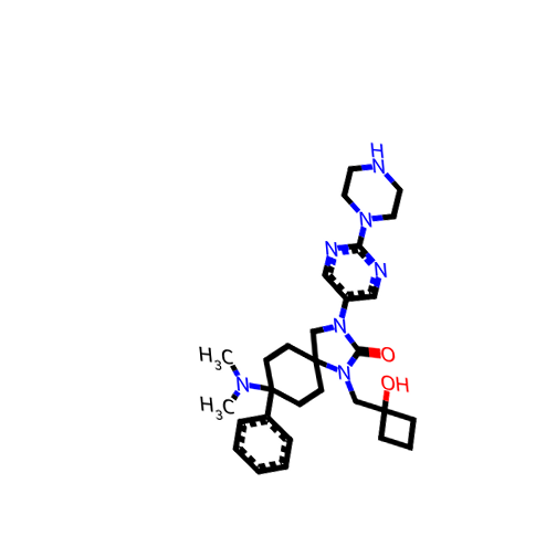 CN(C)C1(c2ccccc2)CCC2(CC1)CN(c1cnc(N3CCNCC3)nc1)C(=O)N2CC1(O)CCC1